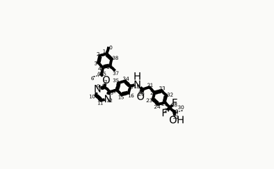 Cc1ccc([C@@H](C)Oc2nccnc2-c2ccc(NC(=O)Cc3ccc(C(F)(F)[C@H](C)O)cc3)cc2)c(C)c1